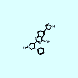 CCN1C[C@@H](c2ccccc2)[C@H](c2nc(O)c3cc(C4C=NNC4)ccc3n2)C1